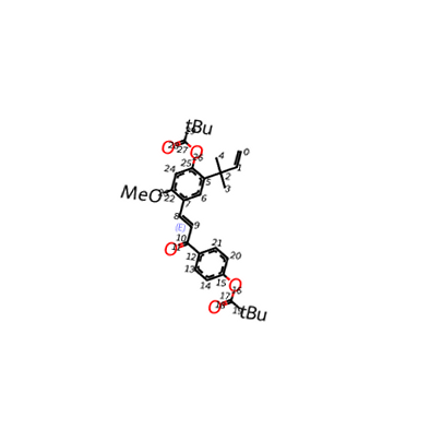 C=CC(C)(C)c1cc(/C=C/C(=O)c2ccc(OC(=O)C(C)(C)C)cc2)c(OC)cc1OC(=O)C(C)(C)C